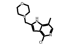 Cc1cnc(Cl)c2cc(CN3CCOCC3)[nH]c12